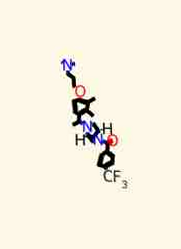 Cc1c(OCCCN(C)C)ccc(C(C)N2C[C@@H]3C[C@H]2CN3C(=O)c2ccc(C(F)(F)F)cc2)c1C